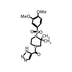 COc1ccc(S(=O)(=O)N2CCN(C(=O)c3cnn[nH]3)CC2(C)C)cc1OC